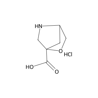 Cl.O=C(O)C12CNC(CO1)C2